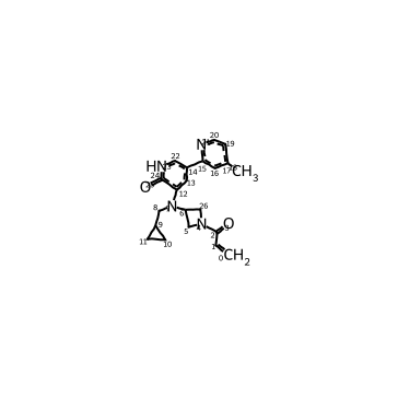 C=CC(=O)N1CC(N(CC2CC2)c2cc(-c3cc(C)ccn3)c[nH]c2=O)C1